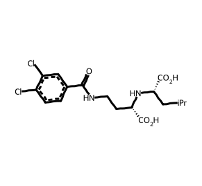 CC(C)C[C@H](N[C@@H](CCNC(=O)c1ccc(Cl)c(Cl)c1)C(=O)O)C(=O)O